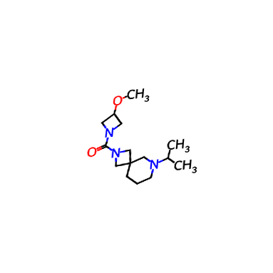 COC1CN(C(=O)N2CC3(CCCN(C(C)C)C3)C2)C1